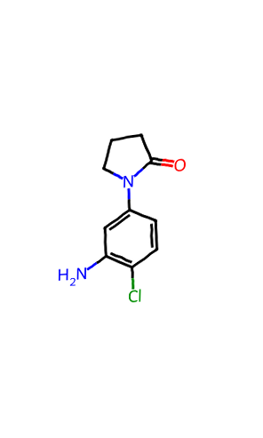 Nc1cc(N2CCCC2=O)ccc1Cl